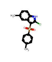 Cc1ccc(S(=O)(=O)c2c(Cl)[nH]c3ccc(C)cc23)cc1